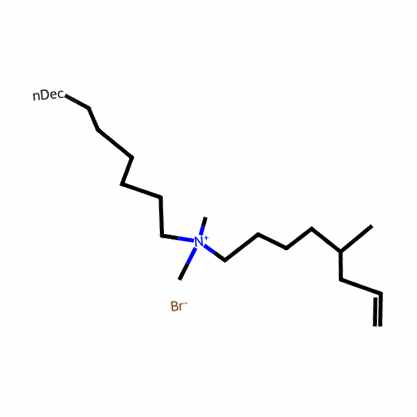 C=CCC(C)CCCC[N+](C)(C)CCCCCCCCCCCCCCCC.[Br-]